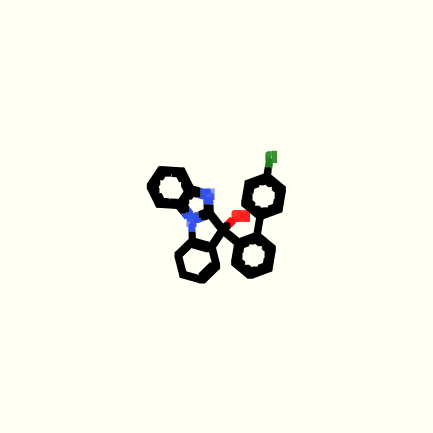 OC1(c2ccccc2-c2ccc(Cl)cc2)C2=C(CCC=C2)n2c1nc1ccccc12